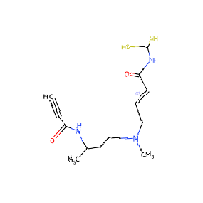 C#CC(=O)NC(C)CCN(C)C/C=C/C(=O)NC(S)S